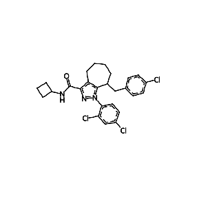 O=C(NC1CCC1)c1nn(-c2ccc(Cl)cc2Cl)c2c1CCCCC2Cc1ccc(Cl)cc1